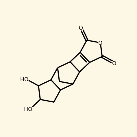 O=C1OC(=O)C2=C1C1C3CC(C21)C1C(O)C(O)CC31